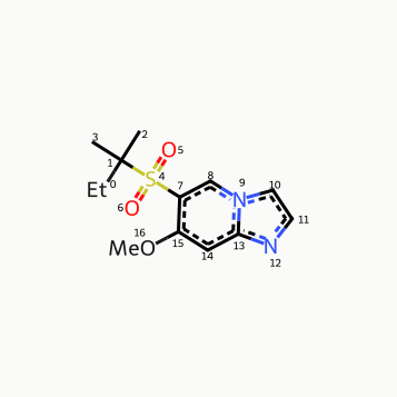 CCC(C)(C)S(=O)(=O)c1cn2ccnc2cc1OC